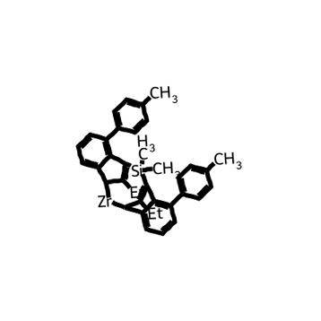 CCC1=C2c3c(-c4ccc(C)cc4)cccc3[CH]1[Zr][CH]1C(CC)=C(c3c(-c4ccc(C)cc4)cccc31)[Si]2(C)C